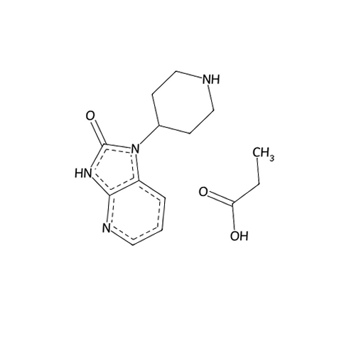 CCC(=O)O.O=c1[nH]c2ncccc2n1C1CCNCC1